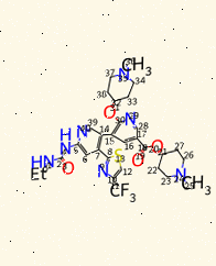 CCNC(=O)Nc1cc(-c2nc(C(F)(F)F)cs2)c(-c2cc(C(=O)OC3CCN(C)CC3)cnc2OC2CCN(C)CC2)cn1